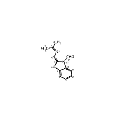 CC(C)=N/N=c1/sc2ccccc2n1C=O